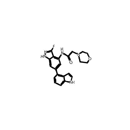 O=C(CN1CCOCC1)Nc1cc(-c2cccc3[nH]ccc23)cc2[nH]nc(F)c12